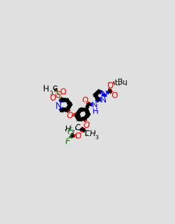 CC(C)(C)OC(=O)n1ccc(NC(=O)c2cc(Oc3ccc(S(C)(=O)=O)nc3)cc(OC(C)(C)OC(F)F)c2)n1